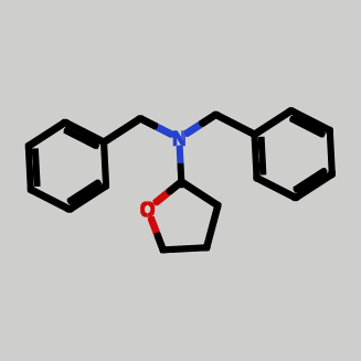 c1ccc(CN(Cc2ccccc2)[C]2CCCO2)cc1